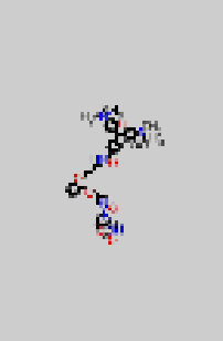 CN(C)c1ccc2c(-c3ccc(C(=O)NCCCCCOc4ccccc4COCC4CN(C(=O)N5CC[C@@H]6OCC(=O)N[C@@H]6C5)C4)cc3C(=O)[O-])c3ccc(=[N+](C)C)cc-3oc2c1